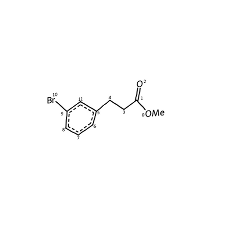 COC(=O)CCc1cccc(Br)c1